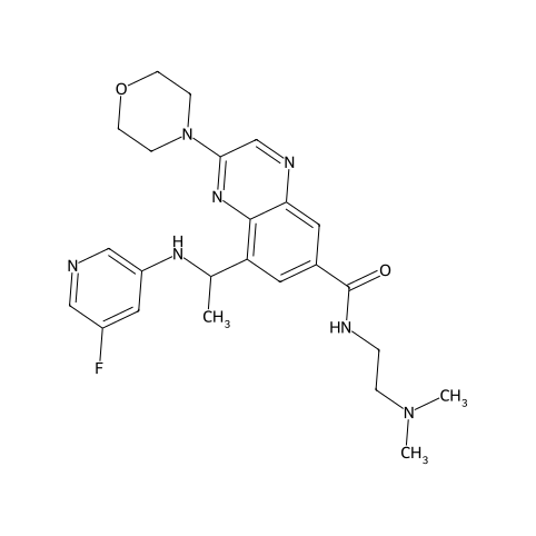 CC(Nc1cncc(F)c1)c1cc(C(=O)NCCN(C)C)cc2ncc(N3CCOCC3)nc12